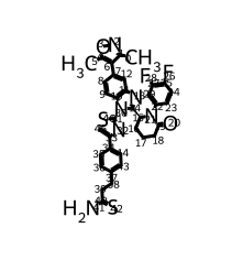 Cc1noc(C)c1-c1ccc2c(c1)nc([C@@H]1CCCC(=O)N1c1ccc(F)c(F)c1)n2-c1nc(-c2ccc(CCC(N)=S)cc2)cs1